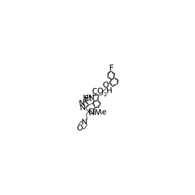 CCc1c(-c2c(Cl)ccc3c(CCCOc4cccc5cc(F)ccc45)c(C(=O)O)[nH]c23)c(C(CCN2CCOCC2)NC)nn1C